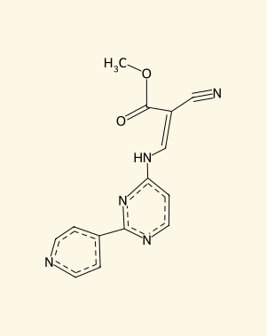 COC(=O)C(C#N)=CNc1ccnc(-c2ccncc2)n1